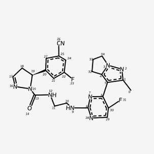 Cc1nn2c(c1-c1nc(NCCNC(=O)N3N=CC[C@H]3c3cc(F)cc(C#N)c3)ncc1F)CCC2